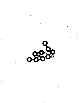 C1=CCCC(C2C=CC=C(N(c3ccc4c(c3)C3(C5=CCCC=C5C5CCC(C6=CCCC=C6)=CC53)C3=C4CCC=C3)C3CC=CC4Oc5ccccc5C43)C2)=C1